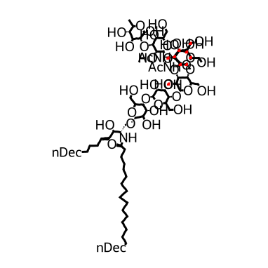 CCCCCCCCCCCCC/C=C/[C@@H](O)[C@H](CO[C@@H]1OC(CO)[C@@H](O[C@@H]2OC(CO)[C@H](O[C@@H]3OC(CO)[C@H](O[C@@H]4OC(CO)[C@H](O)[C@H](O[C@@H]5OC(CO)[C@H](O)[C@H](O[C@H]6C(O)[C@H](O)C(C)O[C@H]6O)C5O)C4NC(C)=O)[C@H](O[C@@H]4OC(CO)[C@H](O)[C@H](O)C4NC(C)=O)C3O)[C@H](O)C2O)[C@H](O)C1O)NC(=O)CCCCCCCCCCCCCCCCCCCCCCCCC